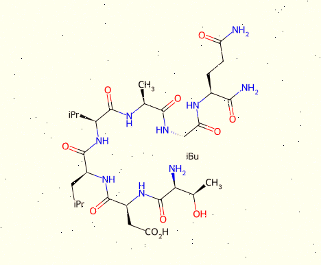 CC[C@H](C)[C@H](NC(=O)[C@H](C)NC(=O)[C@@H](NC(=O)[C@H](CC(C)C)NC(=O)[C@H](CC(=O)O)NC(=O)[C@@H](N)[C@@H](C)O)C(C)C)C(=O)N[C@@H](CCC(N)=O)C(N)=O